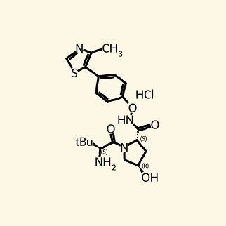 Cc1ncsc1-c1ccc(ONC(=O)[C@@H]2C[C@@H](O)CN2C(=O)[C@@H](N)C(C)(C)C)cc1.Cl